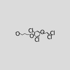 COCCCCCOc1c(Cl)cc(OCC=C(Cl)Cl)cc1Cl